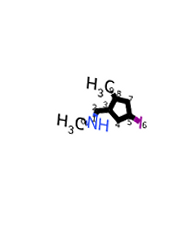 CNCC1CC(I)CC1C